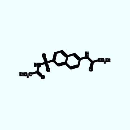 CCOC(=O)C(=O)Nc1ccc2cc(S(=O)(=O)NC(=O)C(=O)OCC)ccc2c1